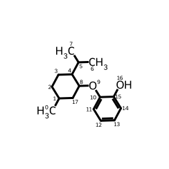 CC1CCC(C(C)C)C(Oc2ccccc2O)C1